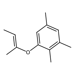 CC=C(C)Oc1cc(C)cc(C)c1C